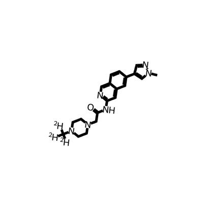 [2H]C([2H])([2H])N1CCN(CC(=O)Nc2cc3cc(-c4cnn(C)c4)ccc3cn2)CC1